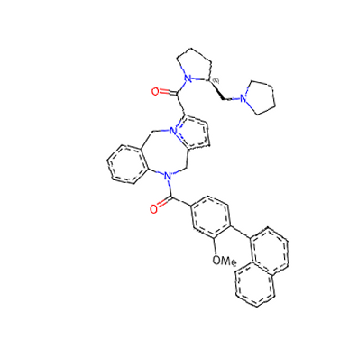 COc1cc(C(=O)N2Cc3ccc(C(=O)N4CCC[C@H]4CN4CCCC4)n3Cc3ccccc32)ccc1-c1cccc2ccccc12